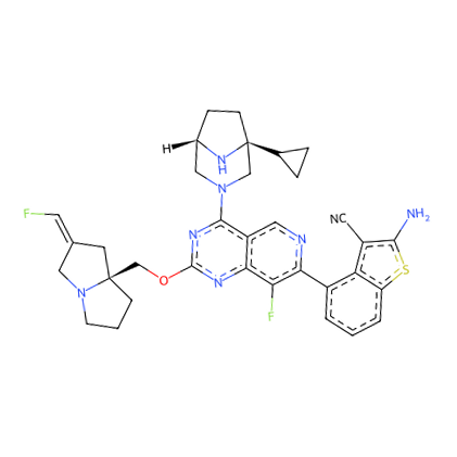 N#Cc1c(N)sc2cccc(-c3ncc4c(N5C[C@@H]6CC[C@](C7CC7)(C5)N6)nc(OC[C@@]56CCCN5C/C(=C\F)C6)nc4c3F)c12